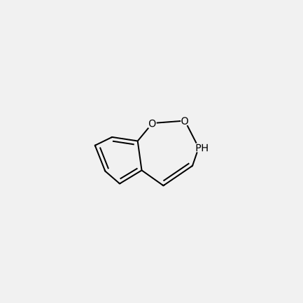 c1ccc2oo[pH]ccc2c1